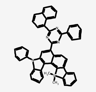 C[Si]1(C)c2ccccc2-c2ccc3c(-c4nc(-c5ccccc5)nc(-c5cccc6ccccc56)n4)cc4c(c5ccccc5n4-c4ccccc4)c3c21